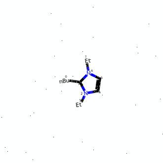 CCCCC1N(CC)C=CN1CC